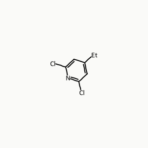 [CH2]Cc1cc(Cl)nc(Cl)c1